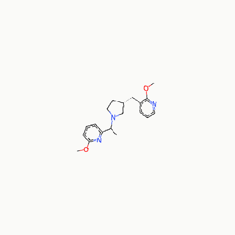 COc1cccc(C(C)N2CC[C@H](Cc3cccnc3OC)C2)n1